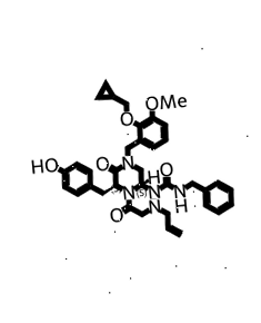 C=CCN1CC(=O)N2[C@@H](Cc3ccc(O)cc3)C(=O)N(Cc3cccc(OC)c3OCC3CC3)C[C@@H]2N1C(=O)NCc1ccccc1